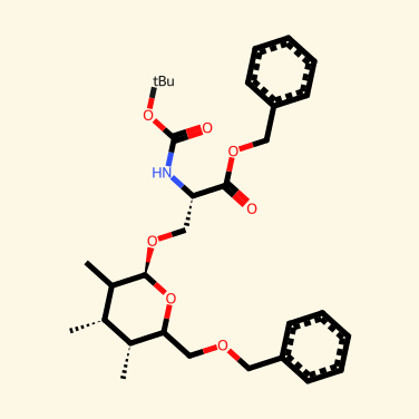 CC1[C@@H](OC[C@H](NC(=O)OC(C)(C)C)C(=O)OCc2ccccc2)OC(COCc2ccccc2)[C@H](C)[C@@H]1C